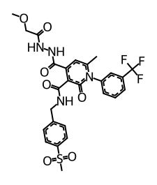 COCC(=O)NNC(=O)c1cc(C)n(-c2cccc(C(F)(F)F)c2)c(=O)c1C(=O)NCc1ccc(S(C)(=O)=O)cc1